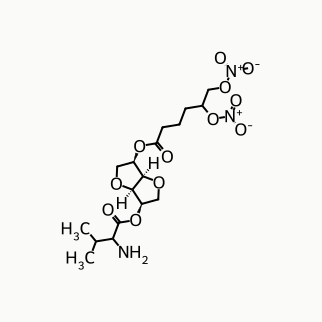 CC(C)C(N)C(=O)O[C@@H]1CO[C@H]2[C@@H]1OC[C@H]2OC(=O)CCCC(CO[N+](=O)[O-])O[N+](=O)[O-]